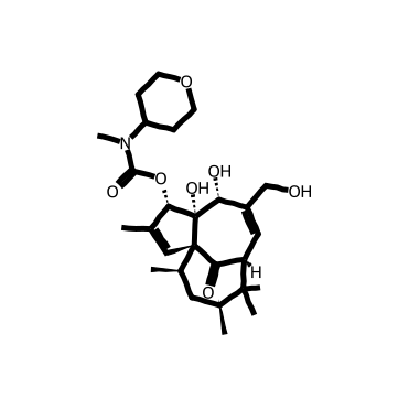 CC1=C[C@]23C(=O)[C@@H](C=C(CO)[C@@H](O)[C@]2(O)[C@H]1OC(=O)N(C)C1CCOCC1)C(C)(C)[C@@H](C)C[C@H]3C